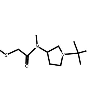 CSCC(=O)N(C)C1CCN(C(C)(C)C)C1